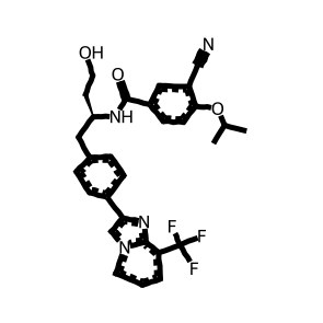 CC(C)Oc1ccc(C(=O)N[C@H](CCO)Cc2ccc(-c3cn4cccc(C(F)(F)F)c4n3)cc2)cc1C#N